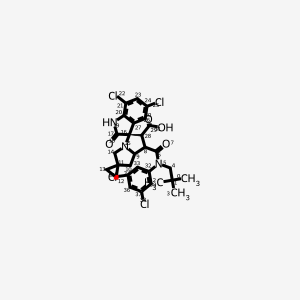 CC(C)(C)CN(C(=O)C1C2CC3(CC3)CN2[C@@]2(C(=O)Nc3c(Cl)cc(Cl)cc32)C1C(=O)O)c1cc(Cl)cc(Cl)c1